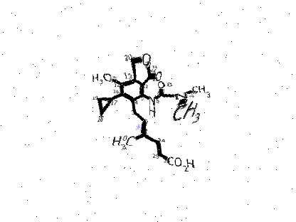 C/C(=C\Cc1c(NC(=O)N(C)C)c2c(c(C)c1C1CC1)COC2=O)CCC(=O)O